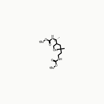 C[C@@H](NC(=O)OC(C)(C)C)C(CO)CC(C)(C)CCNC(=O)OC(C)(C)C